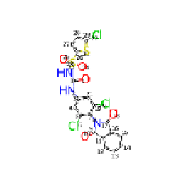 O=C(Nc1cc(Cl)c(N2C(=O)c3ccccc3C2=O)c(Cl)c1)NS(=O)(=O)c1ccc(Cl)s1